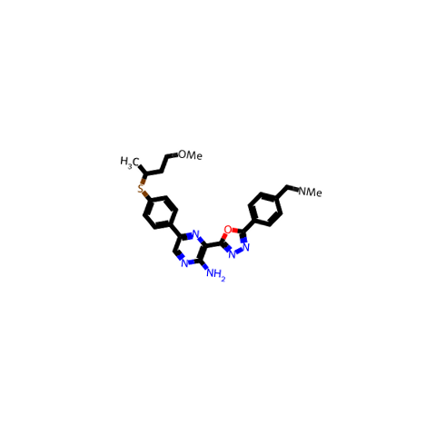 CNCc1ccc(-c2nnc(-c3nc(-c4ccc(SC(C)CCOC)cc4)cnc3N)o2)cc1